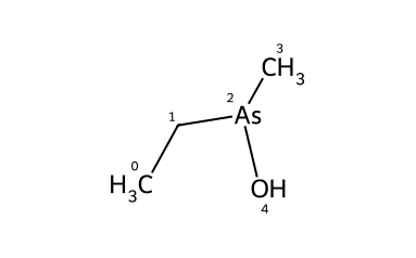 CC[As](C)O